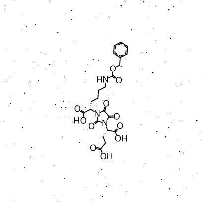 O=C(O)CC[C@@H](C(=O)O)N1C(=O)C(=O)N([C@@H](CCCCNC(=O)OCc2ccccc2)C(=O)O)C1=O